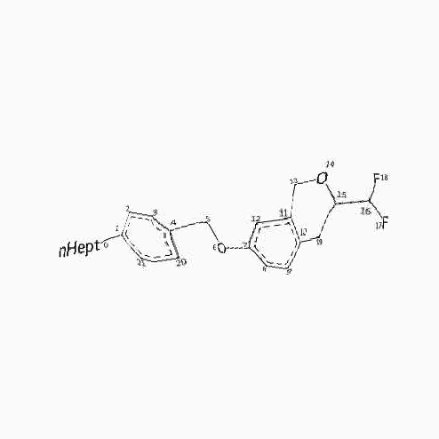 CCCCCCCc1ccc(COc2ccc3c(c2)COC(C(F)F)C3)cc1